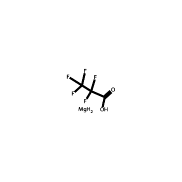 O=C(O)C(F)(F)C(F)(F)F.[MgH2]